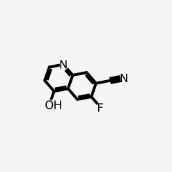 N#Cc1cc2nccc(O)c2cc1F